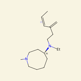 C=C(/C=C\C)CCN(CC)[C@H]1CCCCN(C)CC1